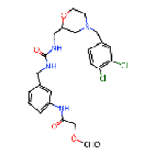 O=COCC(=O)Nc1cccc(CNC(=O)NCC2CN(Cc3ccc(Cl)c(Cl)c3)CCO2)c1